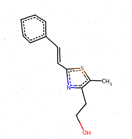 Cc1sc(C=Cc2ccccc2)nc1CCO